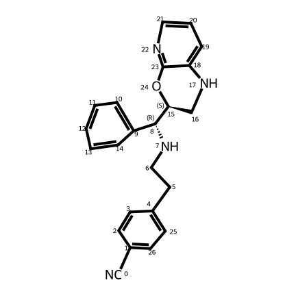 N#Cc1ccc(CCN[C@H](c2ccccc2)[C@@H]2CNc3cccnc3O2)cc1